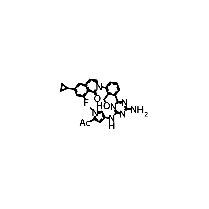 CC(=O)c1cc(Nc2nc(N)nc(-c3cccc(-n4ccc5cc(C6CC6)cc(F)c5c4=O)c3CO)n2)cn1C